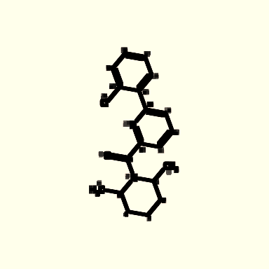 CC1CCCC(C)N1C(=O)c1cccc(-c2ccccc2Cl)n1